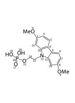 COc1ccc2c3ccc(OC)cc3n(CCOP(=O)(O)O)c2c1